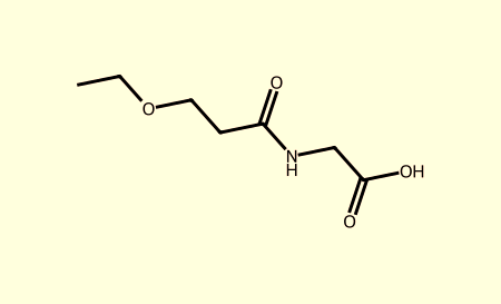 CCOCCC(=O)NCC(=O)O